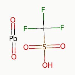 O=S(=O)(O)C(F)(F)F.[O]=[Pb]=[O]